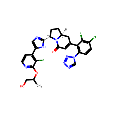 CC(CO)Oc1nccc(-c2cnc([C@@H]3CC[C@H]4CC(c5c(-n6cnnn6)ccc(Cl)c5F)=CC(=O)N43)[nH]2)c1F